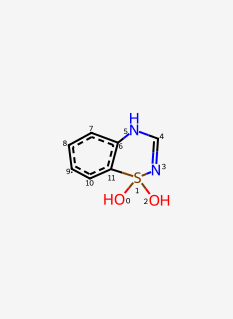 OS1(O)N=CNc2cc[c]cc21